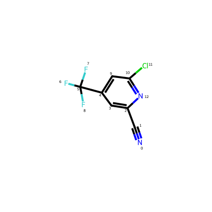 N#Cc1cc(C(F)(F)F)cc(Cl)n1